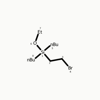 CCCC[Si](CCBr)(CCCC)OCC